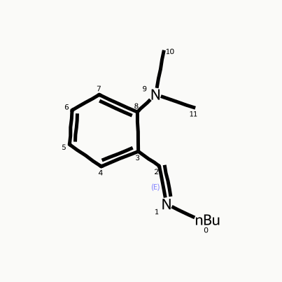 CCCC/N=C/c1ccccc1N(C)C